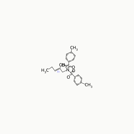 CC/C=C(\C)CN(S(=O)(=O)c1ccc(C)cc1)S(=O)(=O)c1ccc(C)cc1